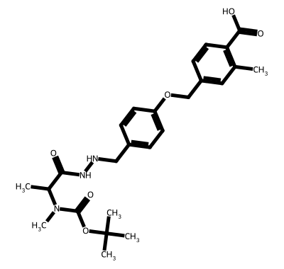 Cc1cc(COc2ccc(CNNC(=O)C(C)N(C)C(=O)OC(C)(C)C)cc2)ccc1C(=O)O